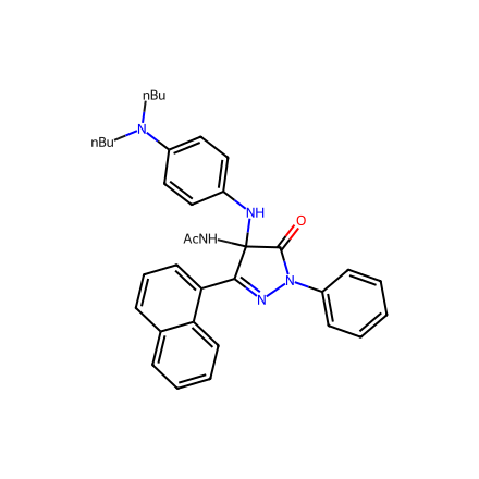 CCCCN(CCCC)c1ccc(NC2(NC(C)=O)C(=O)N(c3ccccc3)N=C2c2cccc3ccccc23)cc1